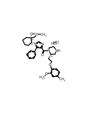 COC[C@]1(O)CCCC[C@H]1n1cnc(C(=O)N2CCNC[C@H]2CCOc2ccc(C)cc2OC)c1-c1ccccc1.Cl.Cl